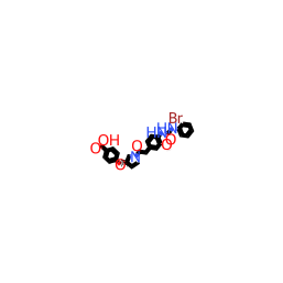 COc1cc(CC(=O)N2CC[C@@H](Oc3ccc(C(=O)O)cc3)C2)ccc1NC(=O)Nc1ccccc1Br